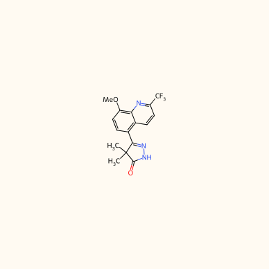 COc1ccc(C2=NNC(=O)C2(C)C)c2ccc(C(F)(F)F)nc12